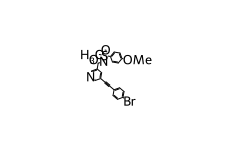 COc1ccc(S(C)(=O)=NC(=O)c2cncc(C#Cc3ccc(Br)cc3)c2)cc1